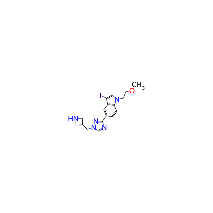 COCCn1cc(I)c2cc(-c3ncn(CC4CNC4)n3)ccc21